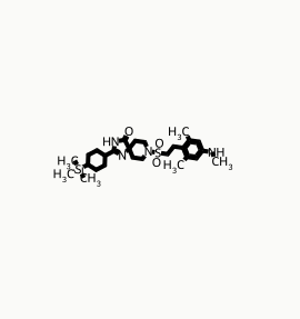 CNc1cc(C)c(CCS(=O)(=O)N2CCC3(CC2)N=C(C2CCC([Si](C)(C)C)CC2)NC3=O)c(C)c1